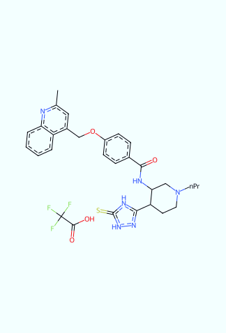 CCCN1CCC(c2n[nH]c(=S)[nH]2)C(NC(=O)c2ccc(OCc3cc(C)nc4ccccc34)cc2)C1.O=C(O)C(F)(F)F